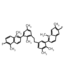 Cc1cc(CCc2cc(C)c(C)c(-c3ccc4cc(F)c(C)cc4[n+]3C)c2)c(C)c(-c2ccc3c(C)c(F)ccc3[n+]2C)c1